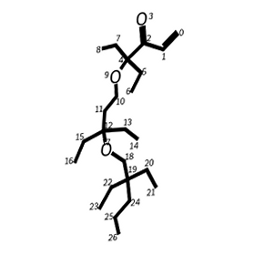 C=CC(=O)C(CC)(CC)OCCC(CC)(CC)OCC(CC)(CC)CCC